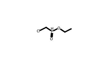 CCO[PH](=O)CCl